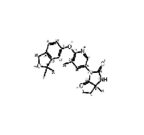 CC[C@@]1(C)NC(=O)N(c2cnc(Oc3ccc4c(c3)C(C)(C)OC4)c(C)c2)C1=O